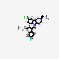 C/C=C/C(=C\n1c2c(c3cc(Cl)ccc31)CN(C)CC2)c1ccc(F)cc1